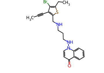 CC#Cc1c(CNCCCNn2ccc(=O)c3ccccc32)sc(CC)c1Br